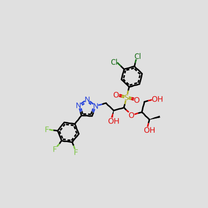 C[C@@H](O)C(CO)OC([C@@H](O)Cn1cc(-c2cc(F)c(F)c(F)c2)nn1)S(=O)(=O)c1ccc(Cl)c(Cl)c1